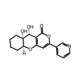 O=c1oc(-c2cccnc2)cc2c1[C@@H](O)[C@]1(O)CCCC[C@@H]1O2